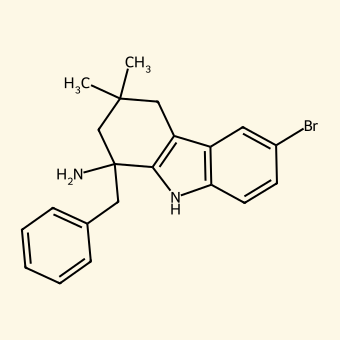 CC1(C)Cc2c([nH]c3ccc(Br)cc23)C(N)(Cc2ccccc2)C1